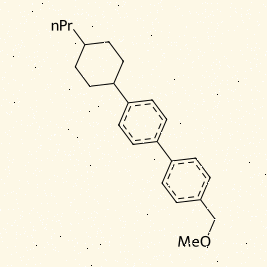 CCCC1CCC(c2ccc(-c3ccc(COC)cc3)cc2)CC1